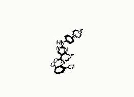 CN1CCN(c2ccc(Nc3ncc4c(n3)N(C)CN(c3c(Cl)cccc3Cl)C4=O)cc2)CC1